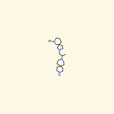 CC(C)N1CCCC2(CCN(CC(C)N3CCC4(CCNCC4)CC3)C2)C1